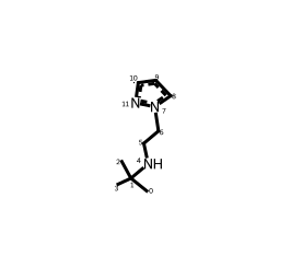 CC(C)(C)NCCn1cc[c]n1